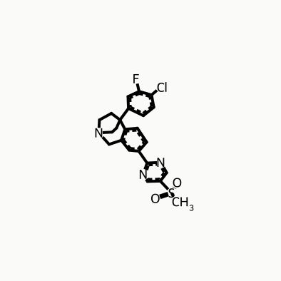 CS(=O)(=O)c1cnc(-c2ccc3c(c2)CN2CCC3(c3ccc(Cl)c(F)c3)CC2)nc1